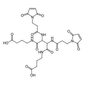 O=C(O)CCCNC(=O)C(NC(=O)CCN1C(=O)C=CC1=O)C(NC(=O)CCN1C(=O)C=CC1=O)C(=O)NCCCC(=O)O